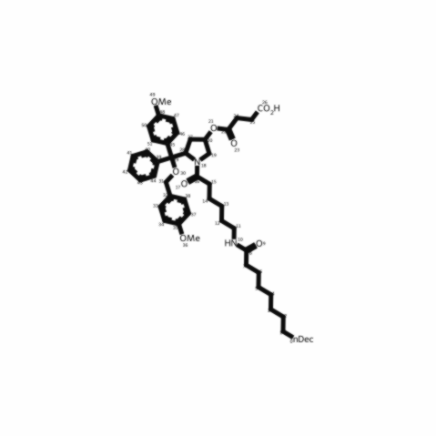 CCCCCCCCCCCCCCCCCC(=O)NCCCCCC(=O)N1CC(OC(=O)CCC(=O)O)CC1C(OCc1ccc(OC)cc1)(c1ccccc1)c1ccc(OC)cc1